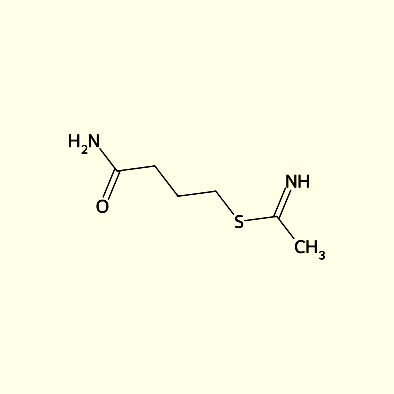 CC(=N)SCCCC(N)=O